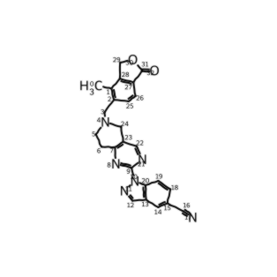 Cc1c(CN2CCc3nc(-n4ncc5cc(C#N)ccc54)ncc3C2)ccc2c1COC2=O